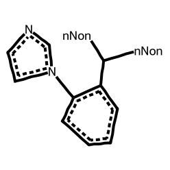 CCCCCCCCCC(CCCCCCCCC)c1ccccc1-n1ccnc1